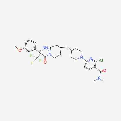 COc1cccc([C@@](N)(C(=O)N2CCC(CC3CCN(c4ccc(C(=O)N(C)C)c(Cl)n4)CC3)CC2)C(F)(F)F)c1